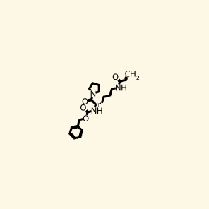 C=CC(=O)NCCCC[C@H](NC(=O)OCc1ccccc1)C(=O)N1CCCC1